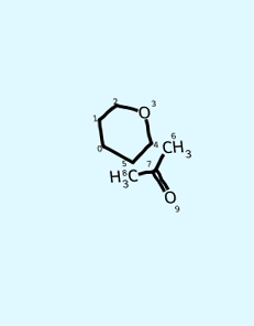 C1CCOCC1.CC(C)=O